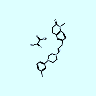 Cc1cccc(N2CCN(/C=C/Cc3ccc4c(c3)CCC(=O)N4C)CC2)c1.O=C(O)C(=O)O